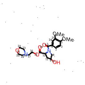 COc1ccc(C(=O)N2CC(O)CC2C(=O)OCCN2CCOCC2)cc1OC